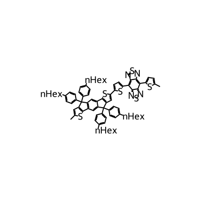 CCCCCCc1ccc(C2(c3ccc(CCCCCC)cc3)c3cc4c(cc3-c3sc(C)cc32)C(c2ccc(CCCCCC)cc2)(c2ccc(CCCCCC)cc2)c2cc(-c3ccc(-c5c6c(c(-c7ccc(C)s7)c7nsnc57)N=S=N6)s3)sc2-4)cc1